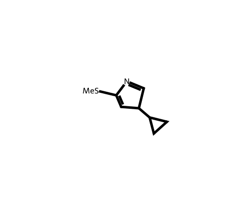 CSC1=CC(C2CC2)C=N1